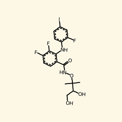 CC(C)(ONC(=O)c1ccc(F)c(F)c1Nc1ccc(I)cc1F)C(O)CO